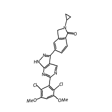 COc1cc(OC)c(Cl)c(-c2ncc3c(-c4ccc5c(c4)CN(C4CC4)C5=O)n[nH]c3n2)c1Cl